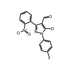 O=Cc1c(-c2ccccc2[N+](=O)[O-])nn(-c2ccc(F)cc2)c1Cl